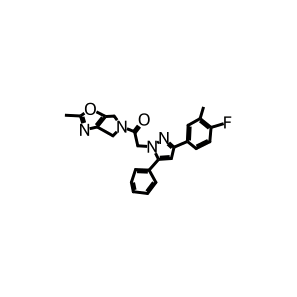 Cc1nc2c(o1)CN(C(=O)Cn1nc(-c3ccc(F)c(C)c3)cc1-c1ccccc1)C2